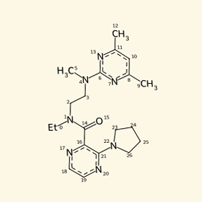 CCN(CCN(C)c1nc(C)cc(C)n1)C(=O)c1nccnc1N1CCCC1